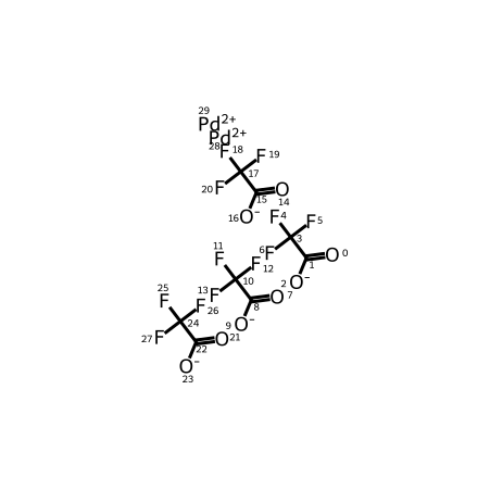 O=C([O-])C(F)(F)F.O=C([O-])C(F)(F)F.O=C([O-])C(F)(F)F.O=C([O-])C(F)(F)F.[Pd+2].[Pd+2]